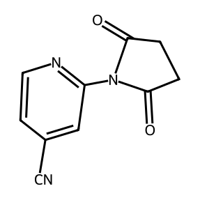 N#Cc1ccnc(N2C(=O)CCC2=O)c1